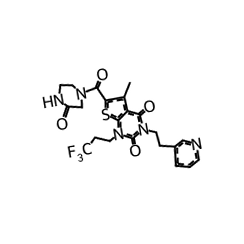 Cc1c(C(=O)N2CCNC(=O)C2)sc2c1c(=O)n(CCc1cccnc1)c(=O)n2CCC(F)(F)F